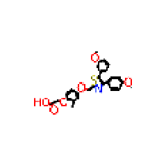 COc1ccc(-c2nc(COc3ccc(OCC(=O)O)c(C)c3)sc2-c2cccc(OC)c2)cc1